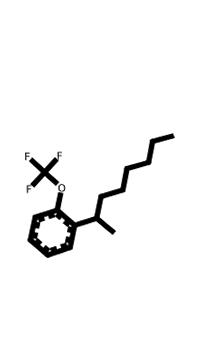 CCCCCCC(C)c1ccccc1OC(F)(F)F